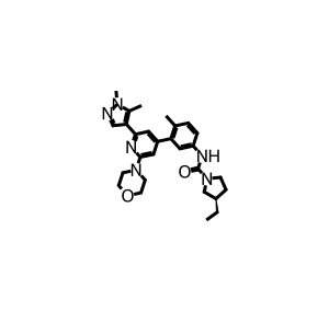 CC[C@@H]1CCN(C(=O)Nc2ccc(C)c(-c3cc(-c4cnn(C)c4C)nc(N4CCOCC4)c3)c2)C1